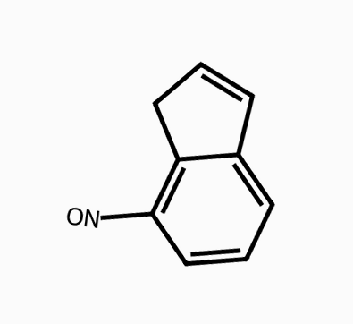 O=Nc1cccc2c1CC=C2